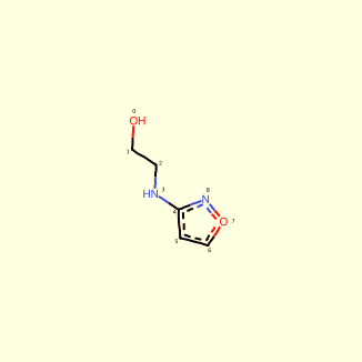 OCCNc1ccon1